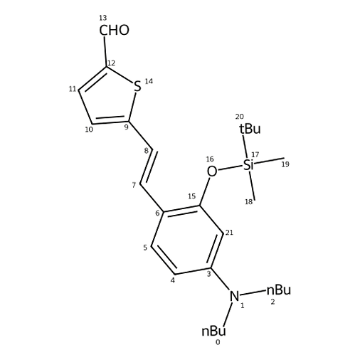 CCCCN(CCCC)c1ccc(/C=C/c2ccc(C=O)s2)c(O[Si](C)(C)C(C)(C)C)c1